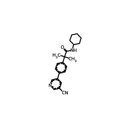 CC(C)(C(=O)NC1CCCCC1)c1ccc(-c2cncc(C#N)c2)cc1